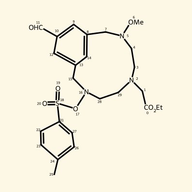 CCOC(=O)CN1CCN(OC)Cc2cc(C=O)cc(c2)CN(OS(=O)(=O)c2ccc(C)cc2)CC1